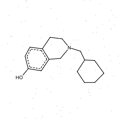 Oc1ccc2c(c1)CN(CC1CCCCC1)CC2